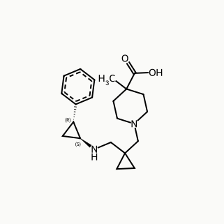 CC1(C(=O)O)CCN(CC2(CN[C@H]3C[C@@H]3c3ccccc3)CC2)CC1